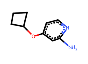 Nc1cc(OC2CCC2)ccn1